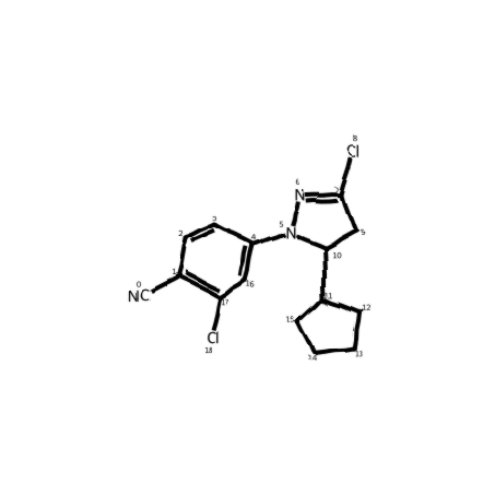 N#Cc1ccc(N2N=C(Cl)CC2C2CCCC2)cc1Cl